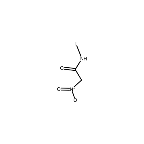 O=C(C[N+](=O)[O-])NI